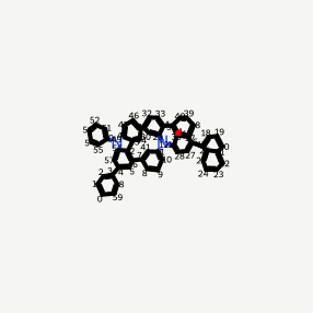 c1ccc(-c2cc(-c3cccc(N(c4ccc(-c5cccc6ccccc56)cc4)c4ccccc4-c4ccccc4)c3)c3c4ccccc4n(-c4ccccc4)c3c2)cc1